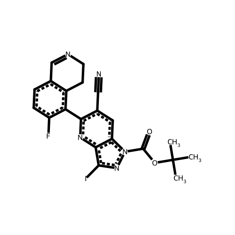 CC(C)(C)OC(=O)n1nc(I)c2nc(-c3c(F)ccc4c3CCN=C4)c(C#N)cc21